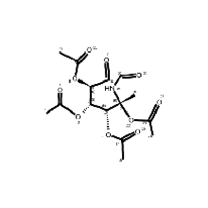 CC(=O)O[C@H]([C@H](C=O)OC(C)=O)[C@@H](OC(C)=O)[C@](C)(NC=O)OC(C)=O